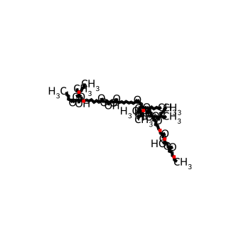 CCCCCCC(=O)OCC(O)COC(=O)CCCCCCCC(OC(=O)C(CC)CCCC)C(O)CC(O)C(CCCCC)OC(CCCCC)C(CC1OC1CCCCCCCC(=O)OCC(O)COC(=O)CCCCCCCC(OC(=O)C(CC)CCCC)C(O)CC1OC1CCCCC)OC(C)(C)C